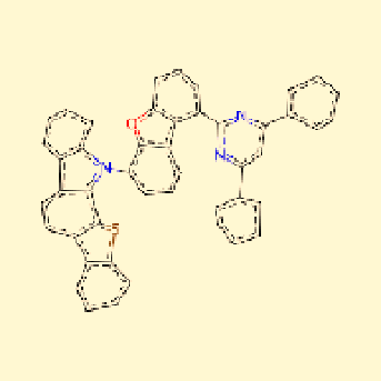 c1ccc(-c2cc(-c3ccccc3)nc(-c3cccc4oc5c(-n6c7ccccc7c7ccc8c9ccccc9sc8c76)cccc5c34)n2)cc1